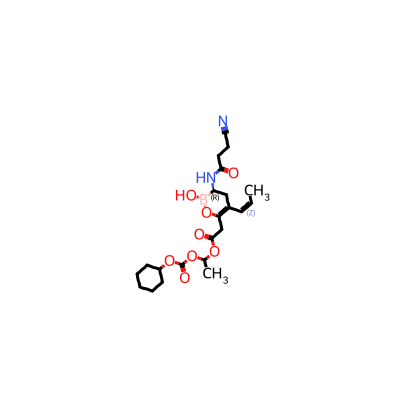 C/C=C\C1=C(CC(=O)OC(C)OC(=O)OC2CCCCC2)OB(O)[C@@H](NC(=O)CCC#N)C1